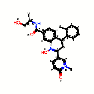 Cc1ccccc1C(CC(=NO)c1ccc(=O)n(C)c1)c1ccc(C(=O)N[C@H](C)CO)cc1